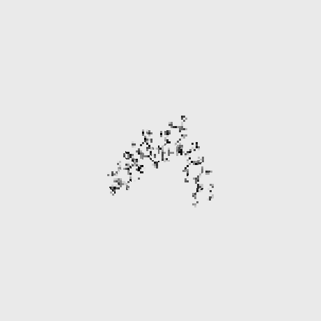 CCN(CC)c1ccc(C(=O)NC(CC(C)C)C(=O)N2CCC3C2C(=O)CN3S(=O)(=O)c2cc[n+]([O-])cc2)cc1